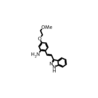 COCCOc1ccc(/C=C/c2n[nH]c3ccccc23)c(N)c1